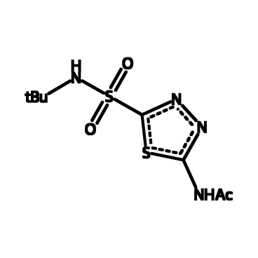 CC(=O)Nc1nnc(S(=O)(=O)NC(C)(C)C)s1